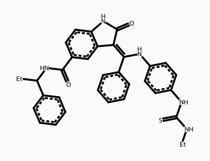 CCNC(=S)Nc1ccc(N/C(=C2\C(=O)Nc3ccc(C(=O)NC(CC)c4ccccc4)cc32)c2ccccc2)cc1